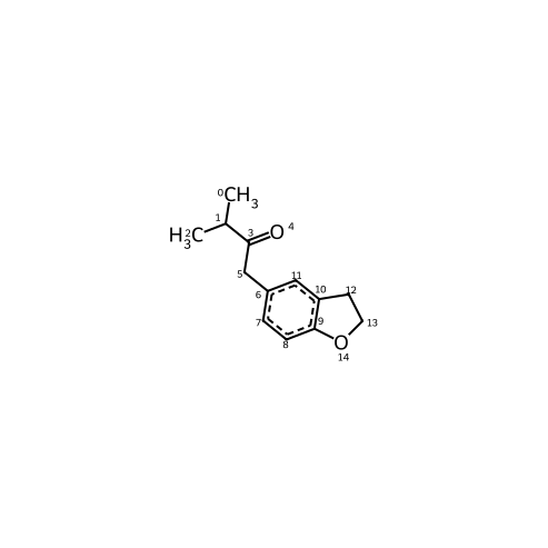 CC(C)C(=O)Cc1ccc2c(c1)CCO2